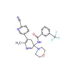 CC1=C(c2ccc(C#N)nc2)CC(NC(=O)c2cccc(C(F)(F)F)c2)(N2CCOCC2)C=N1